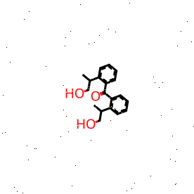 CC(CO)c1ccccc1C(=O)c1ccccc1C(C)CO